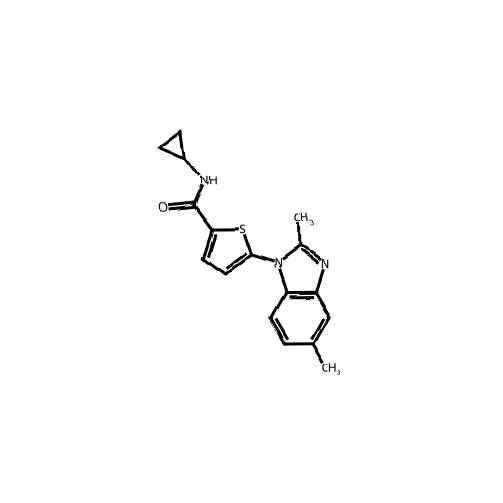 Cc1ccc2c(c1)nc(C)n2-c1ccc(C(=O)NC2CC2)s1